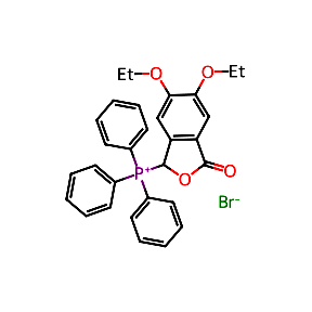 CCOc1cc2c(cc1OCC)C([P+](c1ccccc1)(c1ccccc1)c1ccccc1)OC2=O.[Br-]